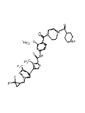 Cl.Cn1c(-c2cn(CC3CC3(F)F)nc2C(F)(F)F)cnc1C(=O)Nc1ccc(C(=O)N2CCN(C(=O)C3CCNCC3)CC2)c(Cl)c1